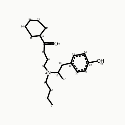 CCCCN(CCCC(=O)C1CCCCC1)C(C)Cc1ccc(O)cc1